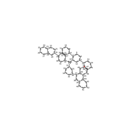 c1ccc(-c2ccc(-c3ccccc3)c(N(c3ccc(-c4ccc5ccccc5c4)cc3)c3cccc(-c4cc5ccccc5c5ccccc45)c3)c2)cc1